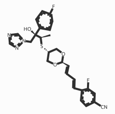 C[C@@H](S[C@H]1CO[C@H](C=CC=Cc2ccc(C#N)cc2F)OC1)[C@](O)(Cn1cncn1)c1ccc(F)cc1